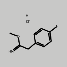 COC(=N)Cc1ccc(F)cc1.[Cl-].[H+]